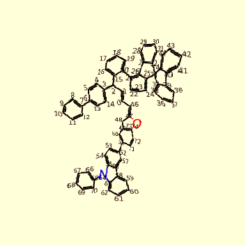 C(=C\C(c1ccc(-c2ccccc2)cc1)c1ccccc1-c1cccc2c1-c1ccccc1C21c2ccccc2-c2ccccc21)/C=C1\Cc2cc(-c3ccc4c(c3)c3ccccc3n4-c3ccccc3)ccc2O1